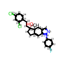 C[C@]12Cc3cnn(-c4ccc(F)cc4)c3C=C1CC[C@@]2(O)CCc1ccc(Cl)cc1Cl